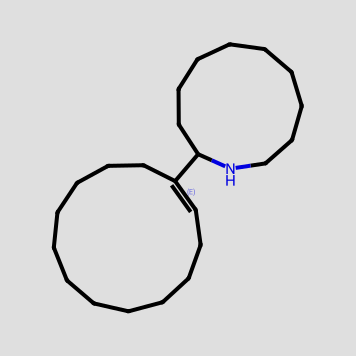 C1=C(/C2CCCCCCCCCN2)CCCCCCCCCCC/1